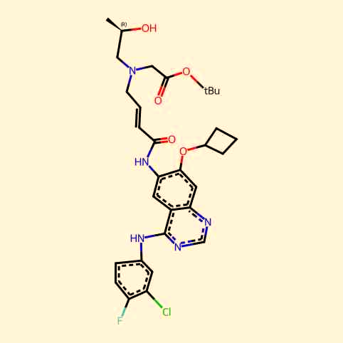 C[C@@H](O)CN(CC=CC(=O)Nc1cc2c(Nc3ccc(F)c(Cl)c3)ncnc2cc1OC1CCC1)CC(=O)OC(C)(C)C